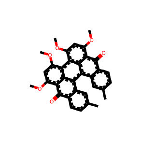 COc1cc(OC)c2c3c(OC)cc(OC)c4c(=O)c5ccc(C)cc5c(c43)c3c4cc(C)ccc4c(=O)c1c23